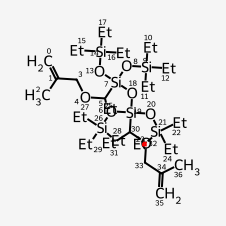 C=C(C)COC(CC)[Si](O[Si](CC)(CC)CC)(O[Si](CC)(CC)CC)O[Si](O[Si](CC)(CC)CC)(O[Si](CC)(CC)CC)C(CC)OCC(=C)C